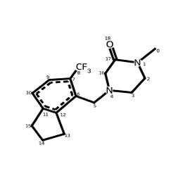 CN1CCN(Cc2c(C(F)(F)F)ccc3c2CCC3)CC1=O